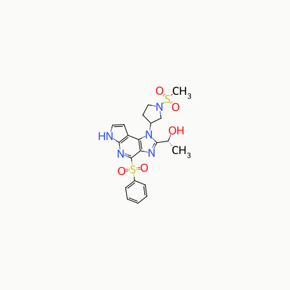 C[C@@H](O)c1nc2c(S(=O)(=O)c3ccccc3)nc3[nH]ccc3c2n1C1CCN(S(C)(=O)=O)C1